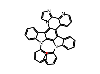 c1ccc(-n2c3ccccc3c3c4c5cccnc5c5nccn5c4c4c5ccccc5n(-c5ccccc5)c4c32)cc1